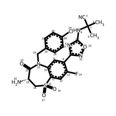 CC(C)(C#N)Nc1nc(-c2cc3c(cc2F)S(=O)(=O)C[C@H](N)C(=O)N3Cc2ccc(Cl)cc2)no1